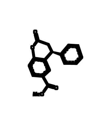 COC(=O)c1ccc2c(c1)[C@H](c1ccccc1)CC(=O)O2